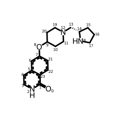 O=c1[nH]ccc2cc(OC3CCN(C[C@@H]4CCCN4)CC3)ccc12